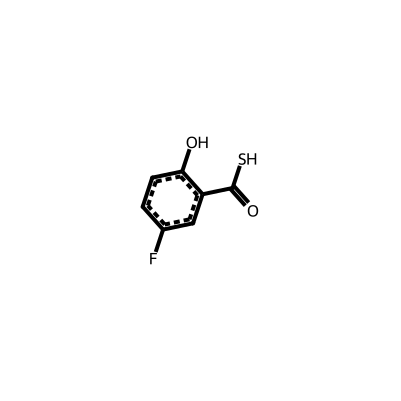 O=C(S)c1cc(F)ccc1O